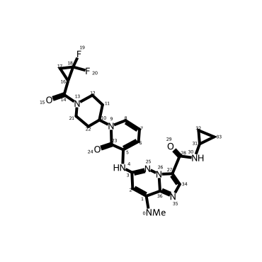 CNc1cc(Nc2cccn(C3CCN(C(=O)C4CC4(F)F)CC3)c2=O)nn2c(C(=O)NC3CC3)cnc12